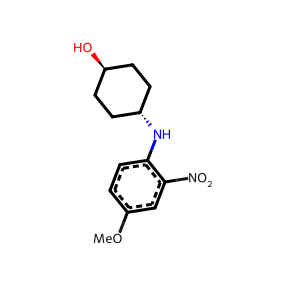 COc1ccc(N[C@H]2CC[C@H](O)CC2)c([N+](=O)[O-])c1